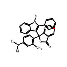 CCN(CC)c1ccc(C2(c3c(-c4ccccc4)n(CC)c4ccccc34)OC(=O)c3cccnc32)c(C)c1